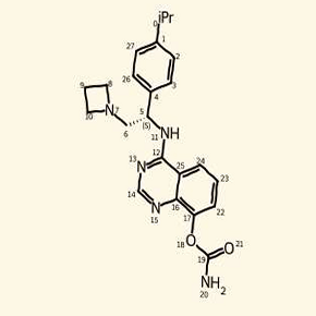 CC(C)c1ccc([C@@H](CN2CCC2)Nc2ncnc3c(OC(N)=O)cccc23)cc1